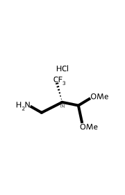 COC(OC)[C@H](CN)C(F)(F)F.Cl